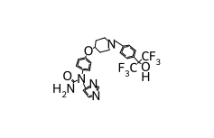 NC(=O)N(c1ccc(OC2CCN(Cc3ccc(C(O)(C(F)(F)F)C(F)(F)F)cc3)CC2)cc1)c1ccncn1